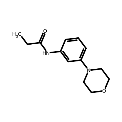 CCC(=O)Nc1cccc(N2CCOCC2)c1